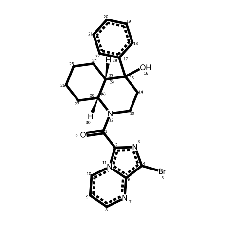 O=C(c1nc(Br)c2ncccn12)N1CCC(O)(c2ccccc2)[C@H]2CCCC[C@H]21